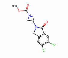 CC(C)(C)OC(=O)N1CC(N2Cc3cc(Cl)c(Br)cc3C2=O)C1